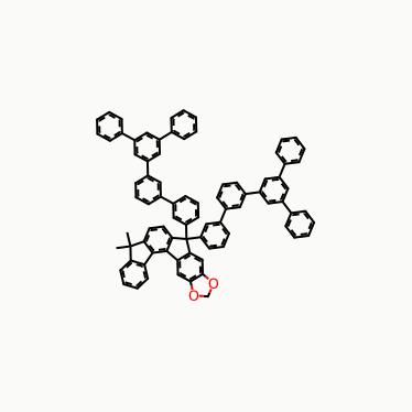 CC1(C)c2ccccc2-c2c1ccc1c2-c2cc3c(cc2C1(c1cccc(-c2cccc(-c4cc(-c5ccccc5)cc(-c5ccccc5)c4)c2)c1)c1cccc(-c2cccc(-c4cc(-c5ccccc5)cc(-c5ccccc5)c4)c2)c1)OCO3